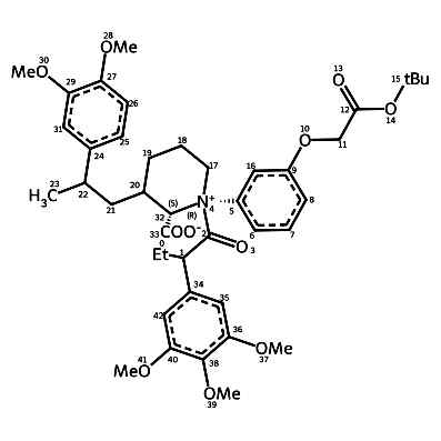 CCC(C(=O)[N@+]1(c2cccc(OCC(=O)OC(C)(C)C)c2)CCCC(CC(C)c2ccc(OC)c(OC)c2)[C@H]1C(=O)[O-])c1cc(OC)c(OC)c(OC)c1